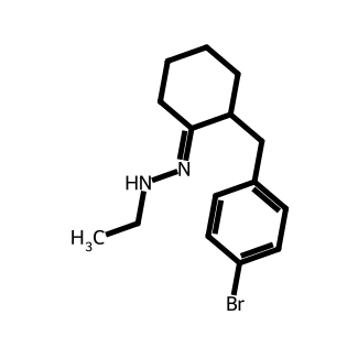 CCNN=C1CCCCC1Cc1ccc(Br)cc1